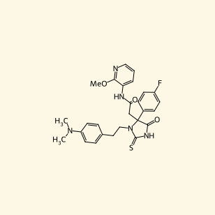 COc1ncccc1NC(=O)CC1(c2ccc(F)cc2)C(=O)NC(=S)N1CCc1ccc(N(C)C)cc1